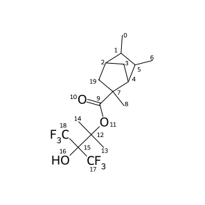 CC1C2CC(C1C)C(C)(C(=O)OC(C)(C)C(O)(C(F)(F)F)C(F)(F)F)C2